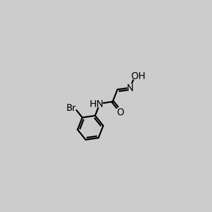 O=C(C=NO)Nc1ccccc1Br